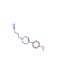 COc1ccc(C2=CCN(CCCC#N)CC2)cc1